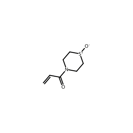 C=CC(=O)N1CC[S+]([O-])CC1